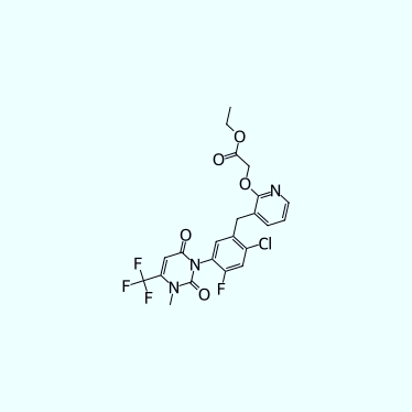 CCOC(=O)COc1ncccc1Cc1cc(-n2c(=O)cc(C(F)(F)F)n(C)c2=O)c(F)cc1Cl